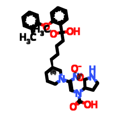 COC(O)(CCCC[C@@H]1CCCN(C(=CN(C(=O)O)C2CCNC2)[N+](=O)[O-])C1)c1ccccc1Oc1ccccc1C